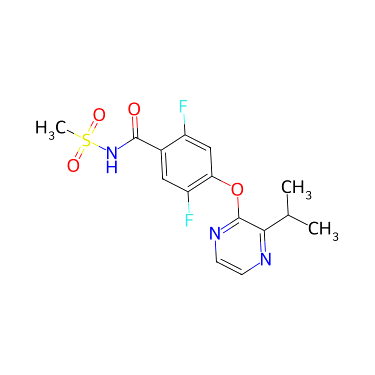 CC(C)c1nccnc1Oc1cc(F)c(C(=O)NS(C)(=O)=O)cc1F